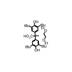 CC(C)(C)c1cc(C(C)(C(=O)O)c2cc(C(C)(C)C)c(O)c(C(C)(C)C)c2)cc(C(C)(C)C)c1O.CCOCCOCC